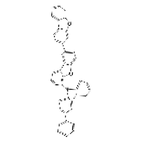 c1ccc(-c2ccc3c(c2)c2ccccc2n3-c2cccc3c2oc2ccc(-c4ccc5c(c4)oc4ccccc45)cc23)cc1